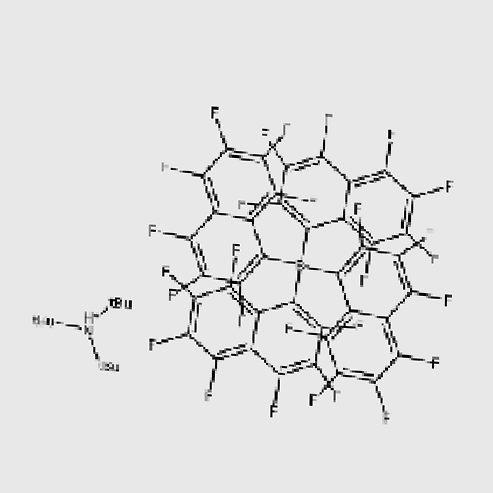 CC(C)(C)[NH+](C(C)(C)C)C(C)(C)C.Fc1c(F)c(F)c2c([B-](c3c(F)c(F)c(F)c4c(F)c(F)c(F)c(F)c34)(c3c(F)c(F)c(F)c4c(F)c(F)c(F)c(F)c34)c3c(F)c(F)c(F)c4c(F)c(F)c(F)c(F)c34)c(F)c(F)c(F)c2c1F